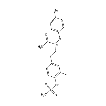 CC(C)(C)c1ccc(O[C@H](CCc2ccc(NS(C)(=O)=O)c(F)c2)C(N)=O)cc1